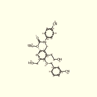 CC(C)(C)OC(=O)N(Cc1cnc(CO)c(OCc2cccc(C#N)c2)c1CCO)c1ccc(C#N)cc1